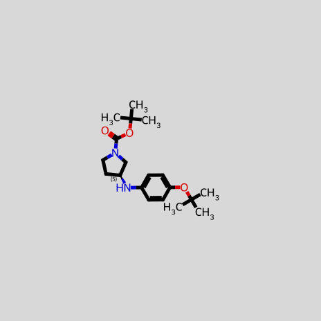 CC(C)(C)OC(=O)N1CC[C@H](Nc2ccc(OC(C)(C)C)cc2)C1